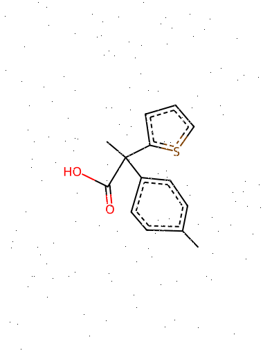 Cc1ccc(C(C)(C(=O)O)c2cccs2)cc1